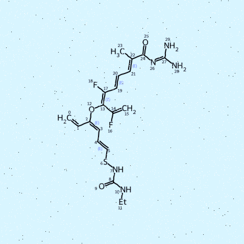 C=C/C(=C\C=C\SNC(=O)NCC)O/C(C(=C)F)=C(F)/C=C/C=C(\C)C(=O)N=C(N)N